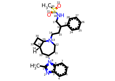 Cc1nc2ccccc2n1[C@H]1CCN(CCC(CNS(C)(=O)=O)c2ccccc2)C2CC[C@H]2C1